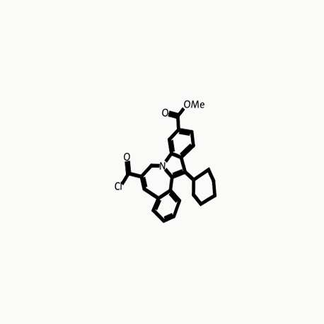 COC(=O)c1ccc2c(C3CCCCC3)c3n(c2c1)CC(C(=O)Cl)=Cc1ccccc1-3